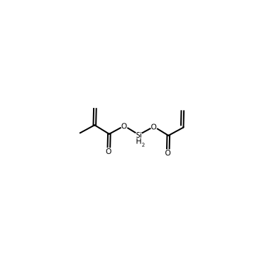 C=CC(=O)O[SiH2]OC(=O)C(=C)C